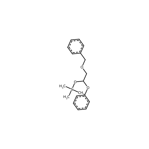 C[Si](C)(C)OC(COCc1ccccc1)Oc1ccccc1